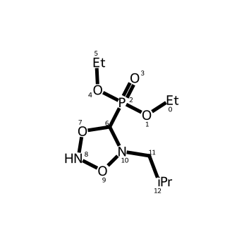 CCOP(=O)(OCC)C1ONON1CC(C)C